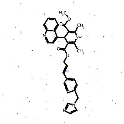 COC(=O)C1=C(C)NC(C)=C(C(=O)OC/C=C/c2ccc(Cn3ccnc3)cc2)C1c1ccnc2ccccc12